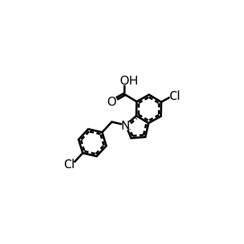 O=C(O)c1cc(Cl)cc2ccn(Cc3ccc(Cl)cc3)c12